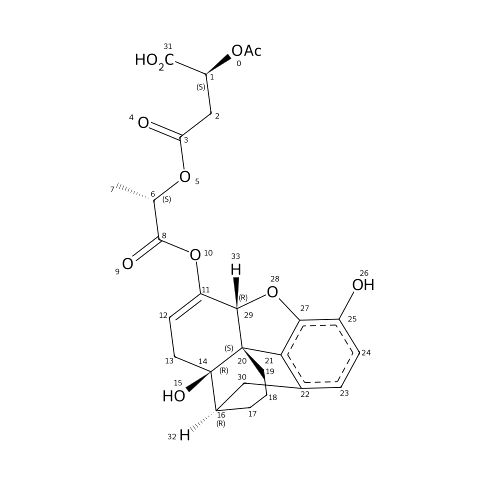 CC(=O)O[C@@H](CC(=O)O[C@@H](C)C(=O)OC1=CC[C@@]2(O)[C@@H]3CCC[C@@]24c2c(ccc(O)c2O[C@@H]14)C3)C(=O)O